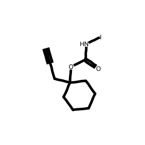 C#CCC1(OC(=O)NI)CCCCC1